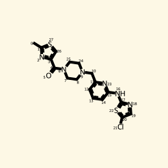 Cc1nc(C(=O)N2CCN(Cc3cccc(Nc4ncc(Cl)s4)n3)CC2)cs1